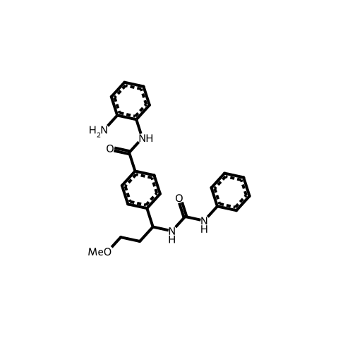 COCCC(NC(=O)Nc1ccccc1)c1ccc(C(=O)Nc2ccccc2N)cc1